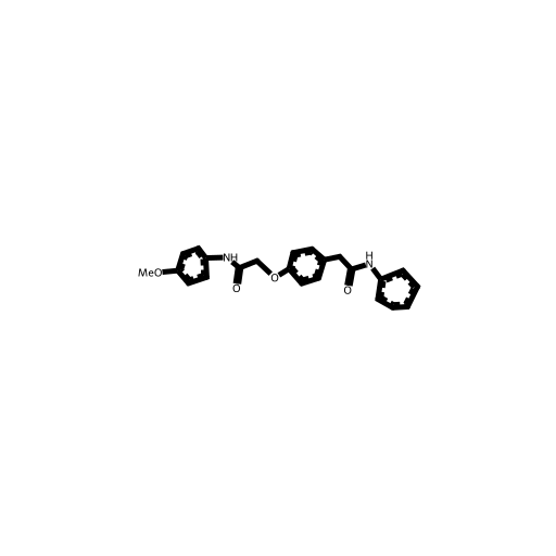 COc1ccc(NC(=O)COc2ccc(CC(=O)Nc3ccccc3)cc2)cc1